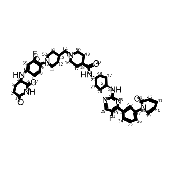 O=C1CCC(Nc2ccc(N3CCC(CN4CCC(C(=O)N[C@H]5CC[C@H](Nc6ncc(F)c(-c7cccc(-n8ccccc8=O)c7)n6)CC5)CC4)CC3)c(F)c2)C(=O)N1